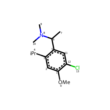 COc1cc(C(C)C)c(C(C)N(C)C)cc1Cl